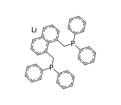 [Li].c1ccc(P(Cc2cccc3cccc(CP(c4ccccc4)c4ccccc4)c23)c2ccccc2)cc1